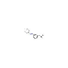 COC(=O)C(C)(F)Cc1cccc(/C=C/C2CCNCC2)c1